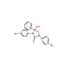 OC1(c2ccccc2)CN(c2ccc(Br)cc2)C(=S)N1c1ccc(Br)cc1